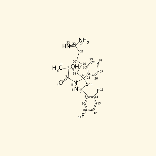 C[C@H](O)C(=O)N1N=C(c2cc(F)ccc2F)SC1(CCCCC(=N)N)c1ccccc1